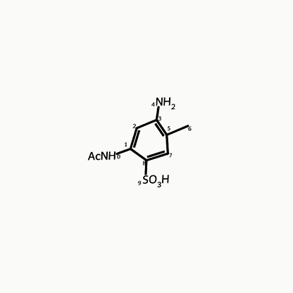 CC(=O)Nc1cc(N)c(C)cc1S(=O)(=O)O